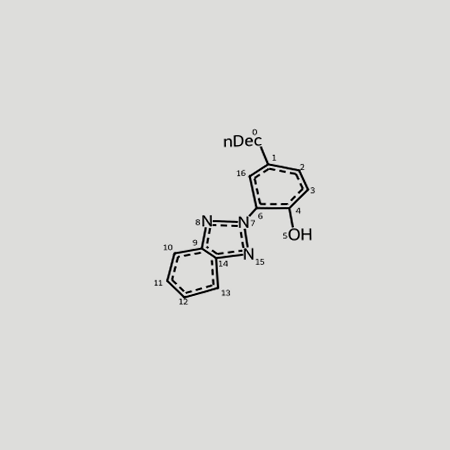 CCCCCCCCCCc1ccc(O)c(-n2nc3ccccc3n2)c1